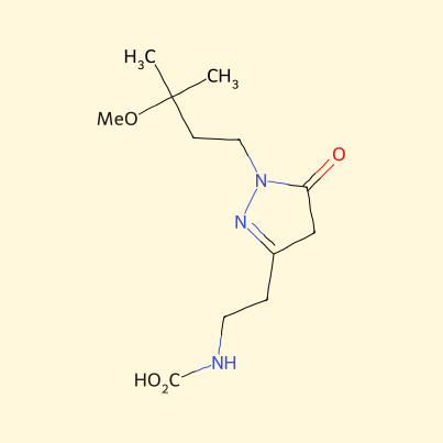 COC(C)(C)CCN1N=C(CCNC(=O)O)CC1=O